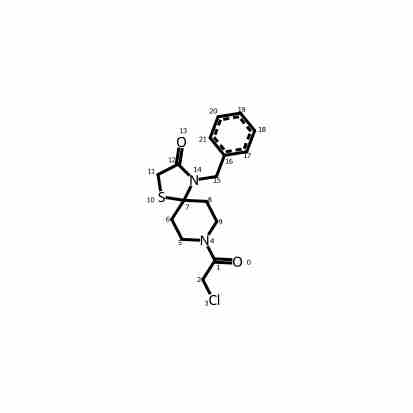 O=C(CCl)N1CCC2(CC1)SCC(=O)N2Cc1ccccc1